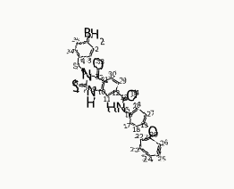 Bc1ccc(Cn2c(=S)[nH]c3cc(C(=O)Nc4ccc(Oc5ccccc5)cc4)ccc3c2=O)cc1